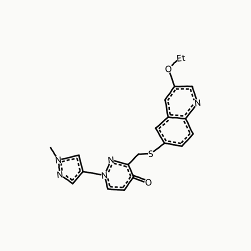 CCOc1cnc2ccc(SCc3nn(-c4cnn(C)c4)ccc3=O)cc2c1